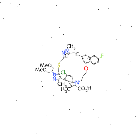 COCC(COC)n1nc(C)c2c1CSCc1cc(n(C)n1)CCc1cc(c3ccc(F)cc3c1)OCCCn1c(C(=O)O)c(C)c3c-2c(Cl)ccc31